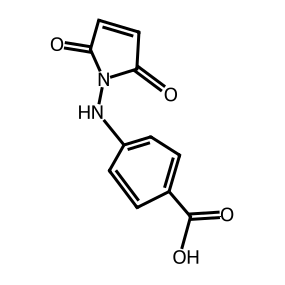 O=C(O)c1ccc(NN2C(=O)C=CC2=O)cc1